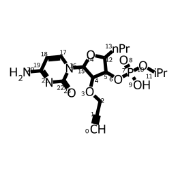 C#CCOC1C(OP(=O)(O)OC(C)C)C(CCC)OC1n1ccc(N)nc1=O